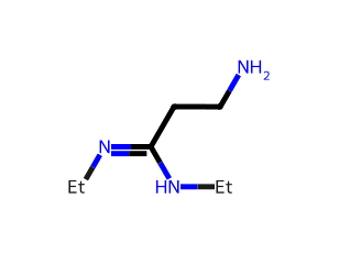 CCN=C(CCN)NCC